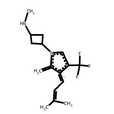 C=c1/c(=C\C=C(C)C)c(C(F)(F)F)cn1C1CC(NC)C1